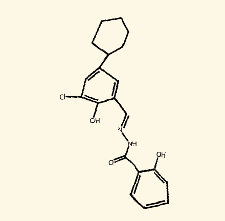 O=C(N/N=C/c1cc(C2CCCCC2)cc(Cl)c1O)c1ccccc1O